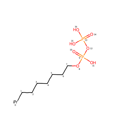 CC(C)CCCCCCCOP(=O)(O)OP(=O)(O)O